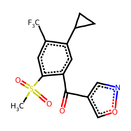 CS(=O)(=O)c1cc(C(F)(F)F)c(C2CC2)cc1C(=O)c1cnoc1